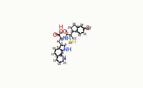 O=C(N[C@@H](Cc1c[nH]c2c1ccc1cccnc12)C(=O)O)C(CS)C1CCc2cc(Br)ccc21